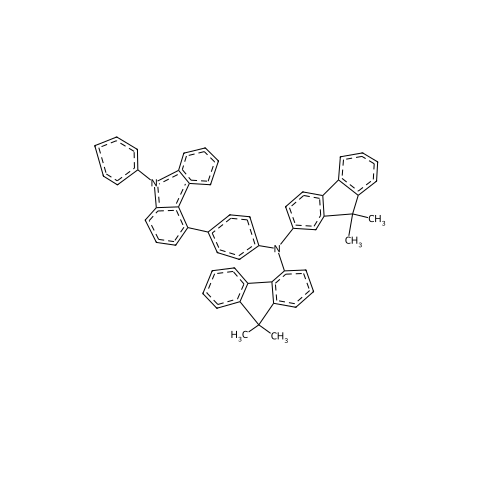 CC1(C)c2ccccc2-c2ccc(N(c3ccc(-c4cccc5c4c4ccccc4n5-c4ccccc4)cc3)c3cccc4c3-c3ccccc3C4(C)C)cc21